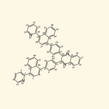 c1ccc(-c2ccc(-c3ccc(-c4nc5ccccc5nc4-c4ccc(-c5ccc(-c6ccccn6)c6ccccc56)cc4)cc3)c3ccccc23)nc1